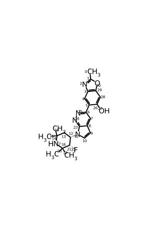 Cc1nc2cc(-c3cc4ccn([C@H]5CC(C)(C)NC(C)(C)[C@H]5F)c4nn3)c(O)cc2o1